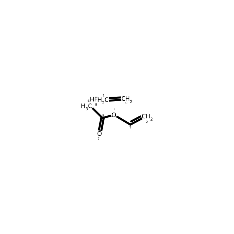 C=C.C=COC(C)=O.F